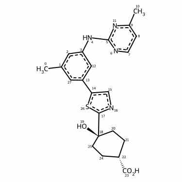 Cc1cc(Nc2nccc(C)n2)cc(-c2cnc([C@]3(O)CC[C@H](C(=O)O)CC3)s2)c1